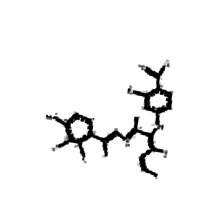 C\C=C/C(CC)=C(Nc1ccc(C(=O)CC)c(CC)c1)\C(C)=N\C=C(/C)c1ccc(NC)c(F)c1F